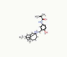 C=C(C)C(=O)Nc1ccc(O)c(CNC23CCC[C@H]4C[C@@](C)(CC4C2)C3)c1